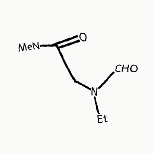 CCN(C=O)CC(=O)NC